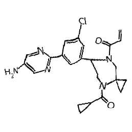 C=CC(=O)N1CC2(CC2)N(C(=O)C2CC2)CC1c1cc(Cl)cc(-c2ncc(N)cn2)c1